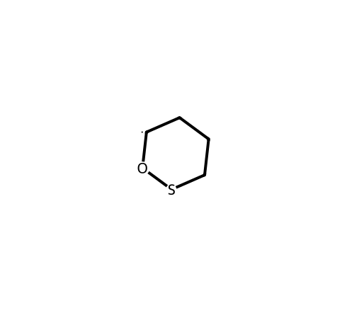 [CH]1CCCSO1